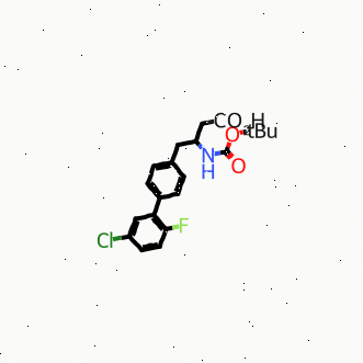 CC(C)(C)OC(=O)NC(CC(=O)O)Cc1ccc(-c2cc(Cl)ccc2F)cc1